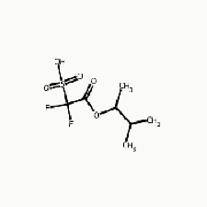 CC(C)C(C)OC(=O)C(F)(F)S(=O)(=O)O